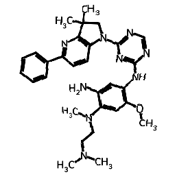 COc1cc(N(C)CCN(C)C)c(N)cc1Nc1ncnc(N2CC(C)(C)c3nc(-c4ccccc4)ccc32)n1